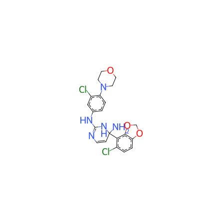 NC1(c2c(Cl)ccc3c2OCO3)C=CN=C(Nc2ccc(N3CCOCC3)c(Cl)c2)N1